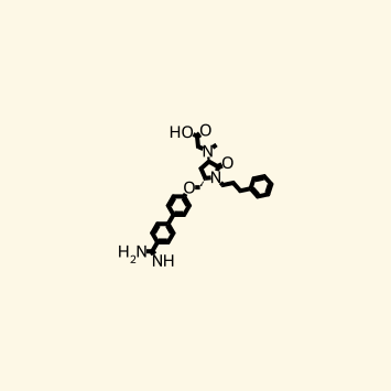 CN(CC(=O)O)[C@@H]1C[C@@H](COc2ccc(-c3ccc(C(=N)N)cc3)cc2)N(CCCc2ccccc2)C1=O